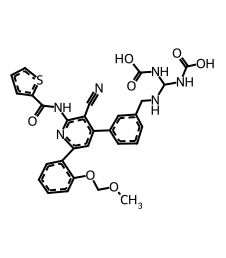 COCOc1ccccc1-c1cc(-c2cccc(CNC(NC(=O)O)NC(=O)O)c2)c(C#N)c(NC(=O)c2cccs2)n1